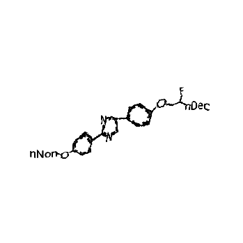 CCCCCCCCCCC(F)COc1ccc(-c2cnc(-c3ccc(OCCCCCCCCC)cc3)nc2)cc1